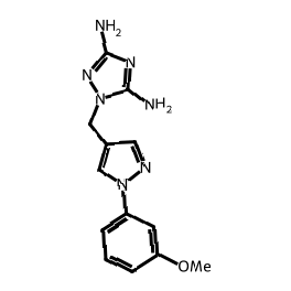 COc1cccc(-n2cc(Cn3nc(N)nc3N)cn2)c1